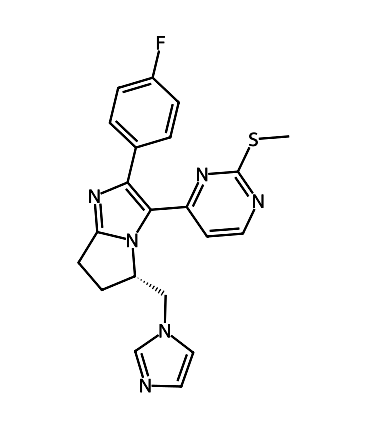 CSc1nccc(-c2c(-c3ccc(F)cc3)nc3n2[C@H](Cn2ccnc2)CC3)n1